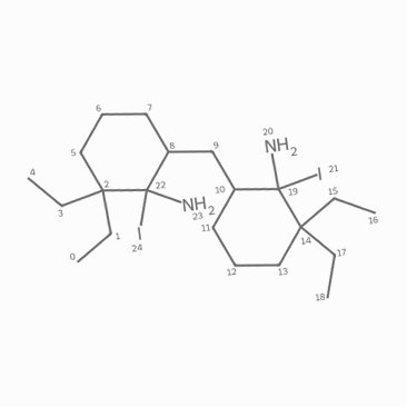 CCC1(CC)CCCC(CC2CCCC(CC)(CC)C2(N)I)C1(N)I